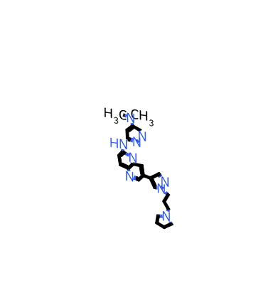 CN(C)c1cnnc(Nc2ccc3ncc(-c4cnn(CCCN5CCCC5)c4)cc3n2)c1